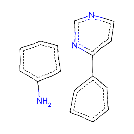 Nc1ccccc1.c1ccc(-c2ccncn2)cc1